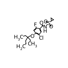 C=CCC(CC)(CC)COc1cc(F)c(C(=O)NS(=O)(=O)C2CC2)cc1Cl